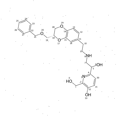 OCc1nc(C(O)CNCCc2ccc3c(c2)O[C@H](COCc2ccccc2)CO3)ccc1O